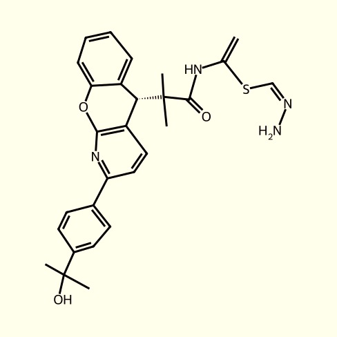 C=C(NC(=O)C(C)(C)[C@H]1c2ccccc2Oc2nc(-c3ccc(C(C)(C)O)cc3)ccc21)S/C=N\N